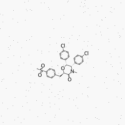 CN1C(=O)[C@@H](Cc2ccc(S(C)(=O)=O)cc2)O[C@H](c2ccc(Cl)cc2)[C@@H]1c1ccc(Cl)cc1